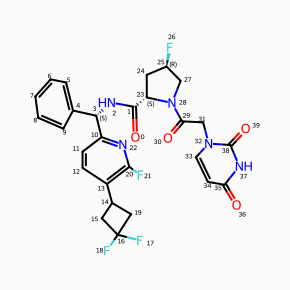 O=C(N[C@@H](c1ccccc1)c1ccc(C2CC(F)(F)C2)c(F)n1)[C@@H]1C[C@@H](F)CN1C(=O)Cn1ccc(=O)[nH]c1=O